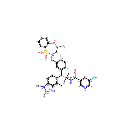 CC[C@@H]1CN(Cc2cc([C@@H](c3ccc4c(c3C)NN(C)N4CC)C(C)(C)NC(=O)c3cncc(F)c3)ccc2C)S(=O)(=O)c2ccccc2O1